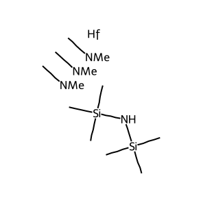 CNC.CNC.CNC.C[Si](C)(C)N[Si](C)(C)C.[Hf]